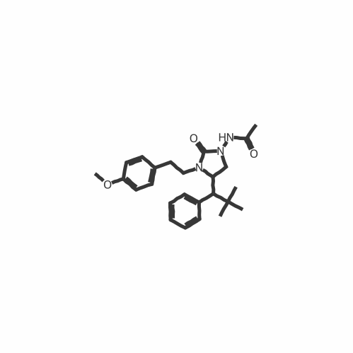 COc1ccc(CCN2C(=O)N(NC(C)=O)CC2C(c2ccccc2)C(C)(C)C)cc1